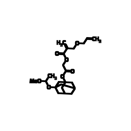 C=CCOCC(=C)C(=O)OCC(=O)OC12CC3CC(C1)CC(OC(C)OC)(C3)C2